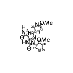 COc1ccc(-c2nc(C(N)=O)c3[nH]c(=O)n(-c4ccccc4OC)c3n2)cn1